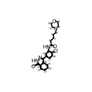 O=C(CCCCN1CCOCC1)Nc1cc(-c2n[nH]c(=O)c3ccccc23)ccc1Cl